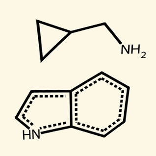 NCC1CC1.c1ccc2[nH]ccc2c1